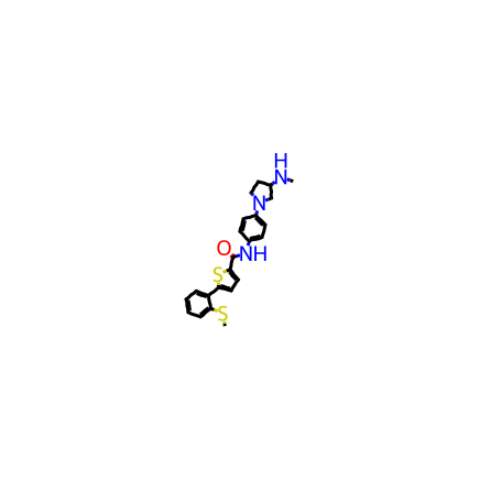 CNC1CCN(c2ccc(NC(=O)c3ccc(-c4ccccc4SC)s3)cc2)C1